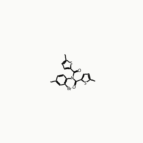 Cc1ccc(N(C(=O)c2ccc(C)s2)C(=O)c2ccc(C)s2)c(Br)c1